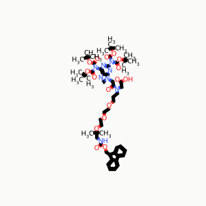 CC(C)(C)OC(=O)N(C(=O)OC(C)(C)C)c1nc(N(C(=O)OC(C)(C)C)C(=O)OC(C)(C)C)c2ncn(CC(=O)N(CCCOCCOCCOC(C)(C)CNC(=O)OCC3c4ccccc4-c4ccccc43)CC(=O)O)c2n1